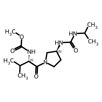 COC(=O)N[C@H](C(=O)N1CC[C@H](NC(=O)NC(C)C)C1)C(C)C